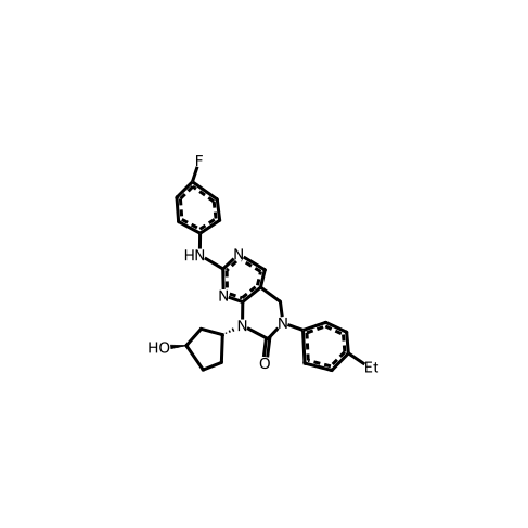 CCc1ccc(N2Cc3cnc(Nc4ccc(F)cc4)nc3N([C@@H]3CC[C@@H](O)C3)C2=O)cc1